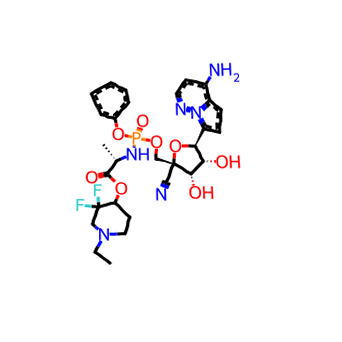 CCN1CCC(OC(=O)[C@H](C)NP(=O)(OC[C@@]2(C#N)O[C@@H](c3ccc4c(N)ccnn34)[C@H](O)[C@@H]2O)Oc2ccccc2)C(F)(F)C1